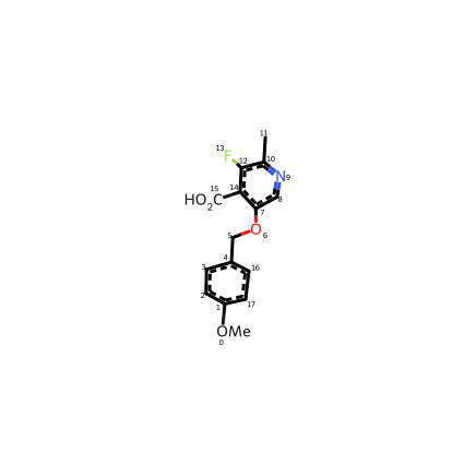 COc1ccc(COc2cnc(C)c(F)c2C(=O)O)cc1